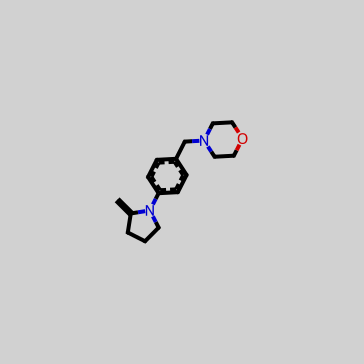 C=C1CCCN1c1ccc(CN2CCOCC2)cc1